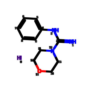 I.N=C(Nc1ccccc1)N1CCOCC1